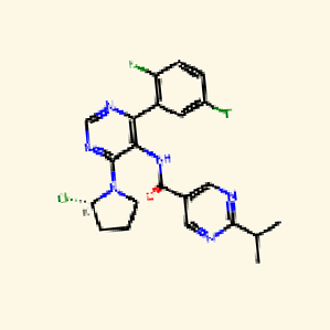 CC(C)c1ncc(C(=O)Nc2c(-c3cc(F)ccc3F)ncnc2N2CCC[C@@H]2Cl)cn1